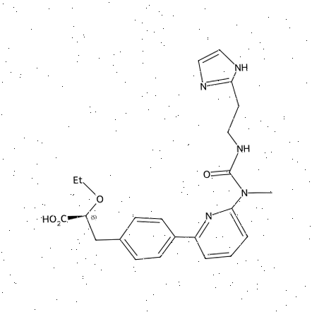 CCO[C@@H](Cc1ccc(-c2cccc(N(C)C(=O)NCCc3ncc[nH]3)n2)cc1)C(=O)O